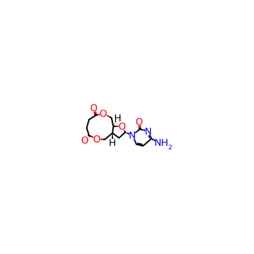 Nc1ccn([C@H]2C[C@@H]3COC(=O)CCC(=O)OC[C@H]3O2)c(=O)n1